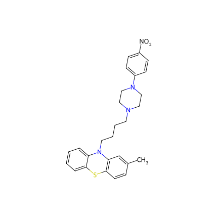 Cc1ccc2c(c1)N(CCCCN1CCN(c3ccc([N+](=O)[O-])cc3)CC1)c1ccccc1S2